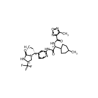 CC[C@H](c1ccnc(NC(=O)[C@@H](NC(=O)c2nonc2C)C2CCC(C)CC2)c1)N1C[C@@H](C(F)(F)F)NC1=O